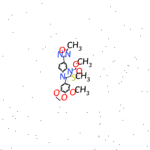 COC(=O)N=C(SC)C(=Nc1ccc(-c2noc(C)n2)cc1)c1cc(OC)c2c(c1)OCCO2